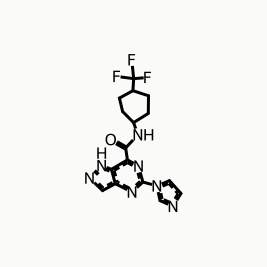 O=C(NC1CCC(C(F)(F)F)CC1)c1nc(-n2ccnc2)nc2cn[nH]c12